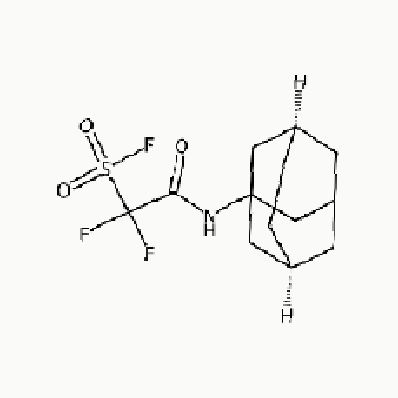 O=C(NC12CC3C[C@H](C1)C[C@@H](C3)C2)C(F)(F)S(=O)(=O)F